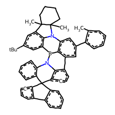 Cc1ccccc1-c1cc2c3c(c1)N1c4c(cc(C(C)(C)C)cc4C4(C)CCCCC14C)B3N1c3ccccc3C3(c4ccccc4-c4ccccc43)c3cccc-2c31